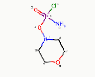 NP(=O)(Cl)ON1CCOCC1